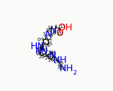 Cc1c(CN2CCN(CC(=O)O)CC2)cccc1Nc1nccc(-c2ccc(NCCCN)nc2)n1